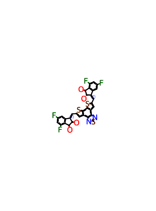 O=C1C(=O)c2c(F)cc(F)cc2/C1=C/c1cc2c3nsnc3c3cc(/C=C4\C(=O)C(=O)c5c(F)cc(F)cc54)sc3c2s1